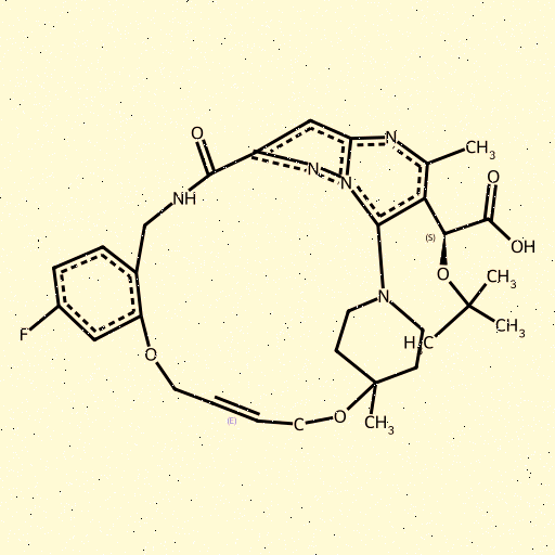 Cc1nc2cc3nn2c(c1[C@H](OC(C)(C)C)C(=O)O)N1CCC(C)(CC1)OC/C=C/COc1cc(F)ccc1CNC3=O